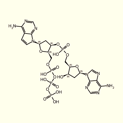 Nc1ncnc2c1ccn2[C@H]1C[C@@H](OP(=O)(O)OC[C@H]2O[C@@H](n3cnc4c(N)ncnc43)C[C@H]2O)[C@@H](COP(=O)(O)OP(=O)(O)OP(=O)(O)O)O1